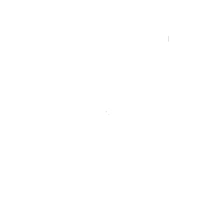 Cc1cccc(C)c1COc1ccc(I)cc1